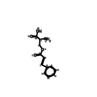 N[C@@H](COC(=O)C=Cc1ccccc1)C(=O)O